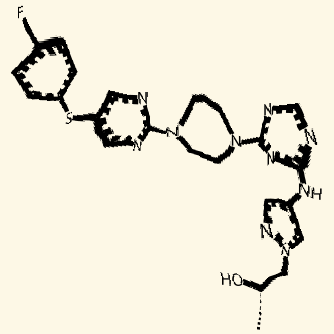 C[C@H](O)Cn1cc(Nc2ncnc(N3CCN(c4ncc(Sc5ccc(F)cc5)cn4)CC3)n2)cn1